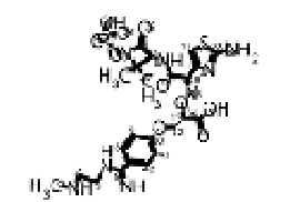 CNCCNC(=N)c1ccc(OC[C@H](ON=C(C(=O)N[C@@H]2C(=O)N(OS(=O)(=O)O)C2(C)C)c2csc(N)n2)C(=O)O)cc1